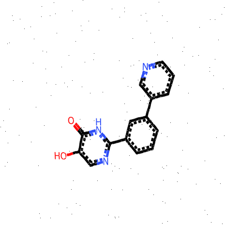 O=c1[nH]c(-c2cccc(-c3cccnc3)c2)ncc1O